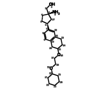 N[C@]1(CO)CC[C@H](c2ccc3c(c2)CCC(OCCOC2CCCCC2)C3)C1